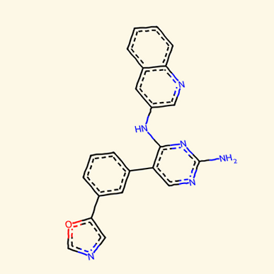 Nc1ncc(-c2cccc(-c3cnco3)c2)c(Nc2cnc3ccccc3c2)n1